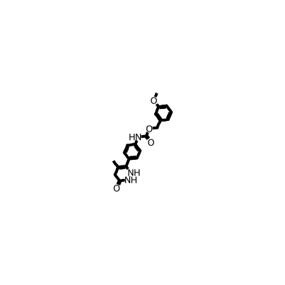 COc1cccc(COC(=O)Nc2ccc(C3=C(C)CC(=O)NN3)cc2)c1